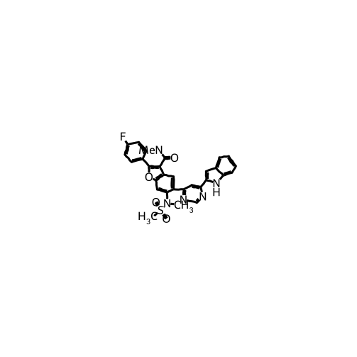 CNC(=O)c1c(-c2ccc(F)cc2)oc2cc(N(C)S(C)(=O)=O)c(-c3cc(-c4cc5ccccc5[nH]4)ncn3)cc12